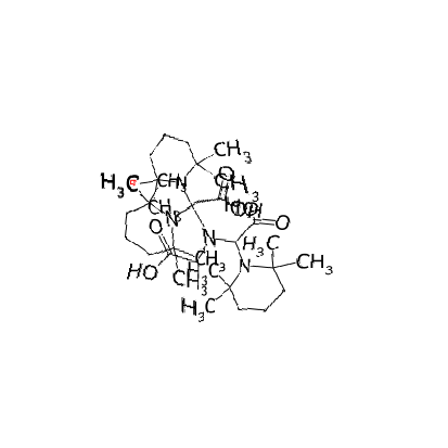 CC1(C)CCCC(C)(C)N1C(C(=O)O)N(CC(=O)O)C(C(=O)O)(N1C(C)(C)CCCC1(C)C)N1C(C)(C)CCCC1(C)C